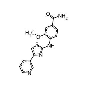 COc1cc(C(N)=O)ccc1Nc1nc(-c2cccnc2)cs1